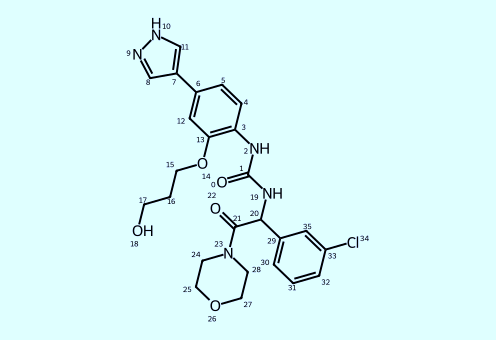 O=C(Nc1ccc(-c2cn[nH]c2)cc1OCCCO)NC(C(=O)N1CCOCC1)c1cccc(Cl)c1